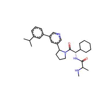 CNC(C)C(=O)N[C@H](C(=O)N1CCCC1c1cncc(-c2cccc(C(C)C)c2)c1)C1CCCCC1